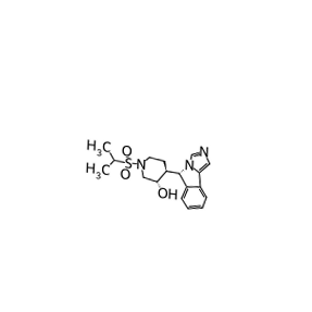 CC(C)S(=O)(=O)N1CC[C@@H]([C@H]2c3ccccc3-c3cncn32)[C@H](O)C1